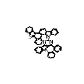 c1ccc(-c2nc(-n3c4ccccc4c4ccc5c6c7ccccc7sc6c6ccccc6c5c43)nc3c4ccccc4n(-c4ccccc4)c23)cc1